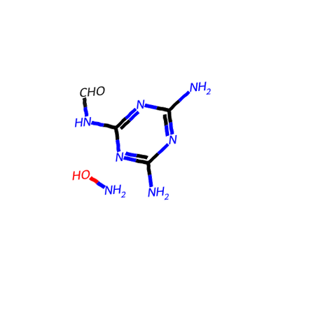 NO.Nc1nc(N)nc(NC=O)n1